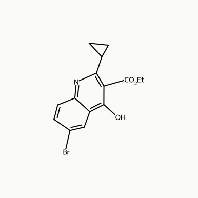 CCOC(=O)c1c(C2CC2)nc2ccc(Br)cc2c1O